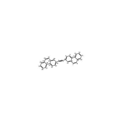 C(#Cc1ccc2c(ccc3ccccc32)c1)c1ccc2c(ccc3ccccc32)c1